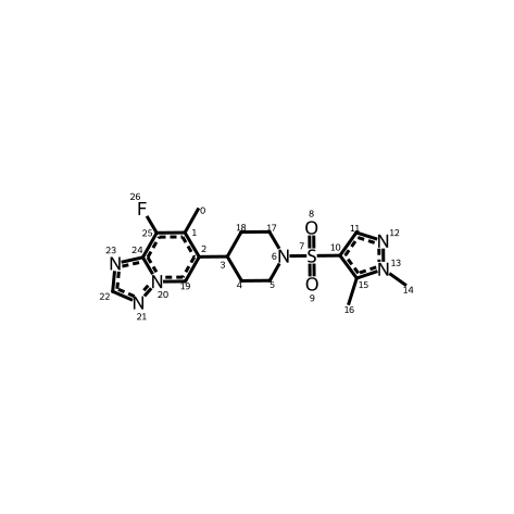 Cc1c(C2CCN(S(=O)(=O)c3cnn(C)c3C)CC2)cn2ncnc2c1F